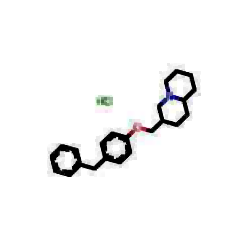 Cl.c1ccc(Cc2ccc(OCC3CCC4CCCCN4C3)cc2)cc1